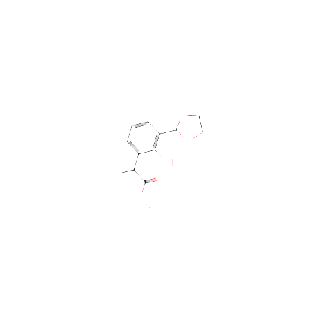 COC(=O)C(C)c1cccc(C2OCCO2)c1O